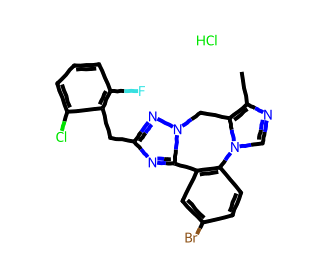 Cc1ncn2c1Cn1nc(Cc3c(F)cccc3Cl)nc1-c1cc(Br)ccc1-2.Cl